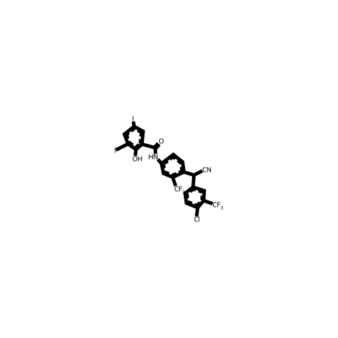 N#CC(c1ccc(Cl)c(C(F)(F)F)c1)c1ccc(NC(=O)c2cc(I)cc(I)c2O)cc1C(F)(F)F